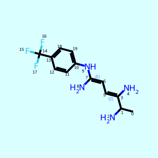 CC(N)/C(N)=C/C=C(\N)Nc1ccc(C(F)(F)F)cc1